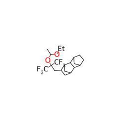 CCOC(C)OC(CC1CC2CC1C1C3CCC(C3)C21)(C(F)(F)F)C(F)(F)F